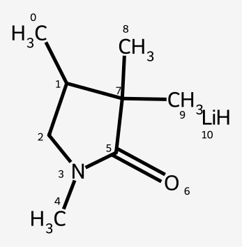 CC1CN(C)C(=O)C1(C)C.[LiH]